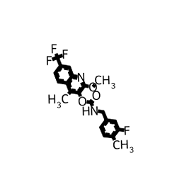 COc1nc2cc(C(F)(F)F)ccc2c(C)c1OC(=O)NCc1ccc(C)c(F)c1